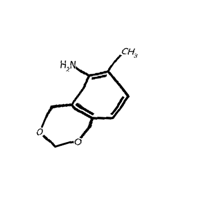 Cc1ccc2c(c1N)COCO2